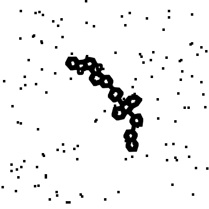 c1cc(-c2ccc3ccccc3c2)cc(-c2c3ccccc3c(-c3ccc(-c4ccc5c(ccc6c5oc5ccc7c8ccccc8oc7c56)c4)cc3)c3ccccc23)c1